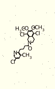 COc1c(Cl)c2c(c(Cl)c1OC)CN(C(=O)CCCc1ncc(Cl)cc1C)CC2